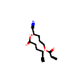 C#CCCCC(=O)O.C=CC(=O)OCCCCC#N